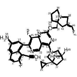 C#Cc1c(F)ccc2cc(N)cc(-c3ncc4c(N5C[C@@H]6CC[C@](C7CC7)(C5)N6)nc(OC[C@@]56CCCN5C/C(=C/F)C6)nc4c3F)c12